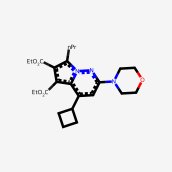 CCCc1c(C(=O)OCC)c(C(=O)OCC)c2c(C3CCC3)cc(N3CCOCC3)nn12